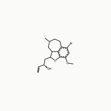 C=C[C@H](O)CC1Oc2c(OC)cc(Br)c3c2C1CN(C)CC3